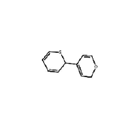 C1=CSC(C2=CCOC=C2)C=C1